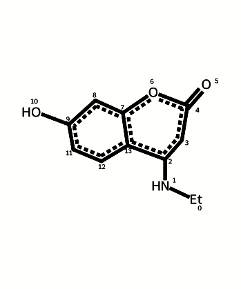 CCNc1cc(=O)oc2cc(O)ccc12